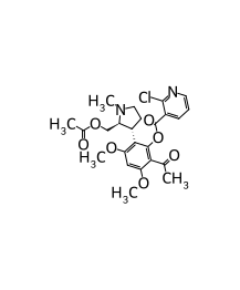 COc1cc(OC)c([C@H]2CCN(C)[C@@H]2COC(C)=O)c(OC(=O)c2cccnc2Cl)c1C(C)=O